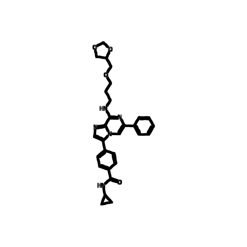 O=C(NC1CC1)c1ccc(-c2cnc3c(NCCCOCC4COCO4)nc(-c4ccccc4)cn23)cc1